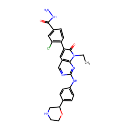 CCn1c(=O)c(-c2ccc(C(=O)NN)cc2Cl)cc2cnc(Nc3ccc(C4CNCCO4)cc3)nc21